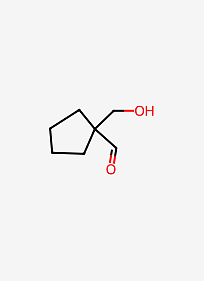 O=CC1(CO)CCCC1